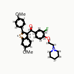 COc1ccc(-c2sc3cc(OC)ccc3c2C(=O)c2ccc(OCCN3CCCCC3)c(F)c2)cc1